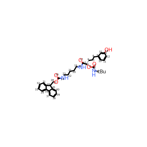 CC(C)(C)NC(=O)O[C@@H](CCCc1cccc(O)c1)C(=O)NCCCCCNC(=O)OCC1c2ccccc2-c2ccccc21